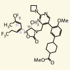 COC(=O)C1CCC(c2ccc(OC)c(-c3cnc(N4CCC4)nc3CN3C(=O)O[C@H](C(=C/CC(F)(F)F)/C=C(\C)C(F)(F)F)[C@@H]3C)c2)CC1